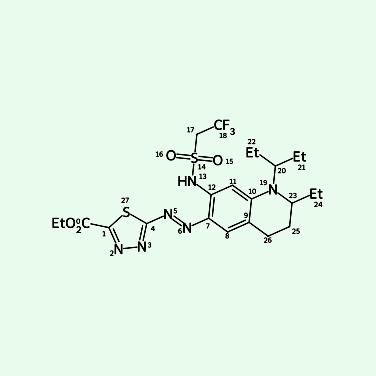 CCOC(=O)c1nnc(N=Nc2cc3c(cc2NS(=O)(=O)CC(F)(F)F)N(C(CC)CC)C(CC)CC3)s1